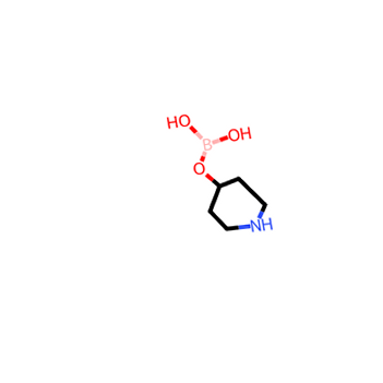 OB(O)OC1CCNCC1